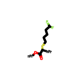 CCCOC(=O)C(CCC)SCCCCC(F)F